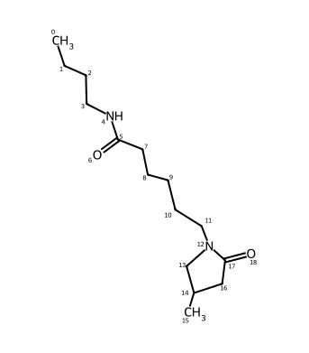 CCCCNC(=O)CCCCCN1CC(C)CC1=O